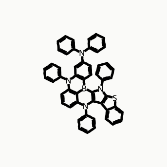 c1ccc(N(c2ccccc2)c2ccc3c(c2)N(c2ccccc2)c2cccc4c2B3c2c(c3c5ccccc5sc3n2-c2ccccc2)N4c2ccccc2)cc1